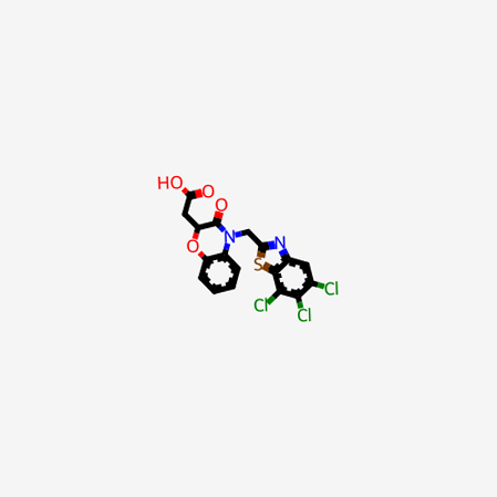 O=C(O)CC1Oc2ccccc2N(Cc2nc3cc(Cl)c(Cl)c(Cl)c3s2)C1=O